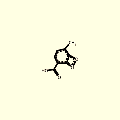 Cc1ccc(C(=O)O)c2ooc12